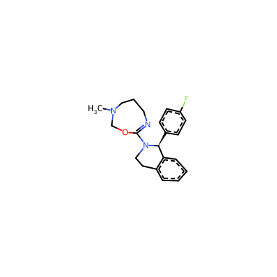 CN1CCC/N=C(/N2CCc3ccccc3[C@@H]2c2ccc(F)cc2)OC1